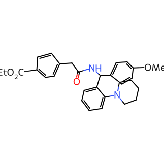 CCOC(=O)c1ccc(CC(=O)NC(c2ccc(OC)cc2)c2ccccc2N2CCCCC2)cc1